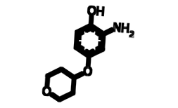 Nc1cc(OC2CCOCC2)ccc1O